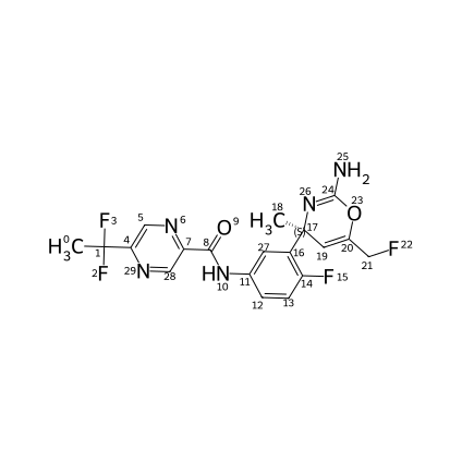 CC(F)(F)c1cnc(C(=O)Nc2ccc(F)c([C@]3(C)C=C(CF)OC(N)=N3)c2)cn1